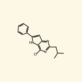 CC(C)Cc1nc(Cl)c2[nH]c(-c3ccccc3)cc2n1